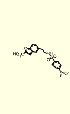 C[S+]([O-])c1ccc(S(=O)(=O)NCCc2ccc3oc(C(=O)O)cc3c2)cc1